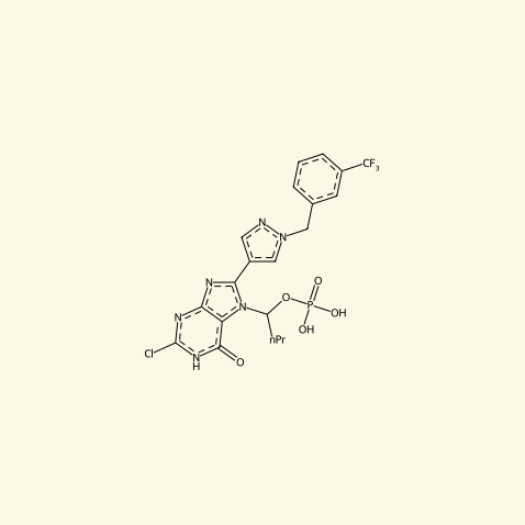 CCCC(OP(=O)(O)O)n1c(-c2cnn(Cc3cccc(C(F)(F)F)c3)c2)nc2nc(Cl)[nH]c(=O)c21